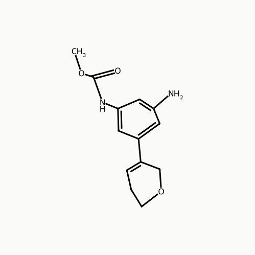 COC(=O)Nc1cc(N)cc(C2=CCCOC2)c1